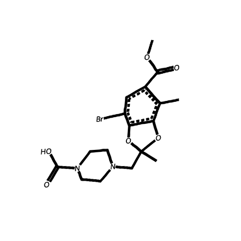 COC(=O)c1cc(Br)c2c(c1C)OC(C)(CN1CCN(C(=O)O)CC1)O2